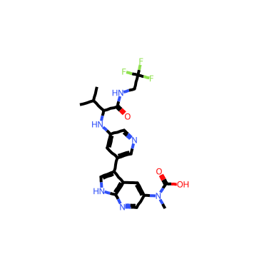 CC(C)C(Nc1cncc(-c2c[nH]c3ncc(N(C)C(=O)O)cc23)c1)C(=O)NCC(F)(F)F